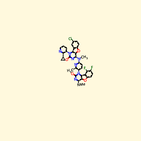 CNc1nc(=O)n(-c2ccc(N(C)c3nc(=O)n(-c4cccnc4C4CC4)c4c3oc3ccc(Cl)cc34)nc2C)c2c1oc1ccc(F)c(F)c12